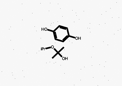 CC(C)OC(C)(C)O.Oc1ccc(O)cc1